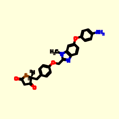 [2H][C@@]1(Cc2ccc(OCc3nc4ccc(Oc5ccc(N)cc5)cc4n3C)cc2)SC(=O)CC1=O